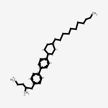 CCCCCCCCCCCC1CCC(c2ccc(-c3ccc(CC(C)CCC)cc3)cc2)CC1